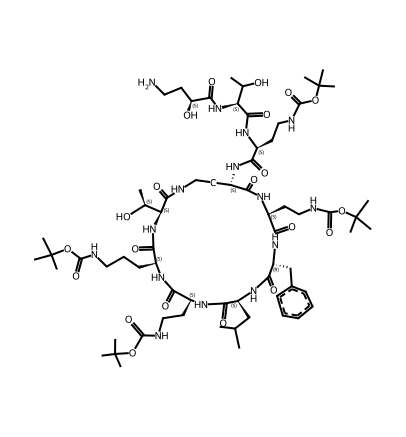 CC(C)C[C@@H]1NC(=O)[C@@H](Cc2ccccc2)NC(=O)[C@H](CCNC(=O)OC(C)(C)C)NC(=O)[C@@H](NC(=O)[C@H](CCNC(=O)OC(C)(C)C)NC(=O)[C@@H](NC(=O)[C@@H](O)CCN)C(C)O)CCNC(=O)[C@H]([C@H](C)O)NC(=O)[C@H](CCCNC(=O)OC(C)(C)C)NC(=O)[C@H](CCNC(=O)OC(C)(C)C)NC1=O